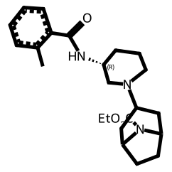 CCOC(=O)N1C2CCC1CC(N1CCC[C@@H](NC(=O)c3ccccc3C)C1)C2